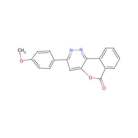 COc1ccc(-c2cc3oc(=O)c4ccccc4c3nn2)cc1